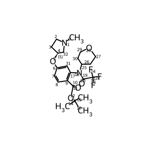 CN1CC[C@H](Oc2ccc(C(=O)OC(C)(C)C)c(N(C(=O)C(F)(F)F)C3CCOCC3)c2)C1